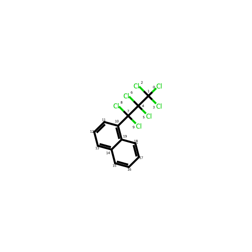 ClC(Cl)(Cl)C(Cl)(Cl)C(Cl)(Cl)c1cccc2ccc[c]c12